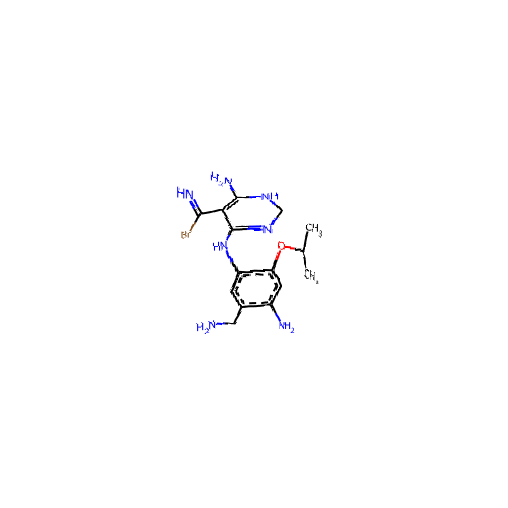 CC(C)Oc1cc(N)c(CN)cc1NC1=NCNC(N)=C1C(=N)Br